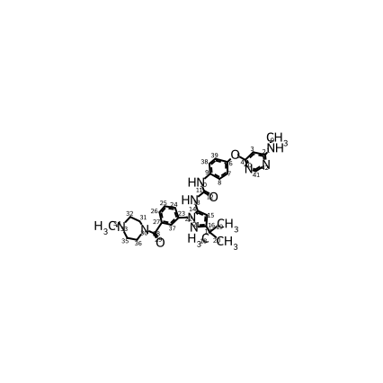 CNc1cc(Oc2ccc(NC(=O)Nc3cc(C(C)(C)C)nn3-c3cccc(C(=O)N4CCN(C)CC4)c3)cc2)ncn1